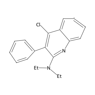 CCN(CC)c1nc2cc[c]cc2c(Cl)c1-c1ccccc1